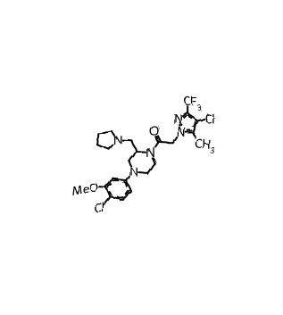 COc1cc(N2CCN(C(=O)Cn3nc(C(F)(F)F)c(Cl)c3C)C(CN3CCCC3)C2)ccc1Cl